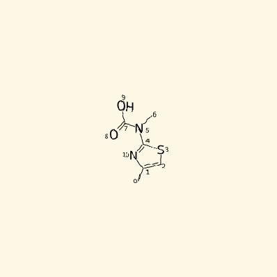 Cc1csc(N(C)C(=O)O)n1